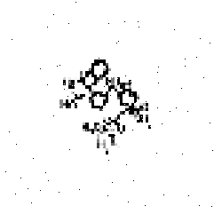 CC(C)(C)OC(=O)CNC1(C(N)=O)CCNCC1.C[C@H](N)C1CCCCC1.O=C(O)C[C@@H](Cc1ccccc1)C(=O)O